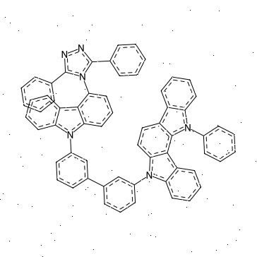 c1ccc(-c2nnc(-c3ccccc3)n2-c2cccc3c2c2ccccc2n3-c2cccc(-c3cccc(-n4c5ccccc5c5c4ccc4c6ccccc6n(-c6ccccc6)c45)c3)c2)cc1